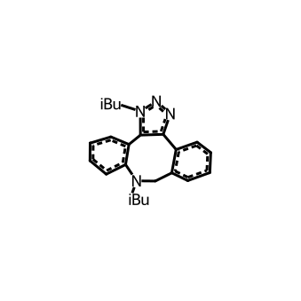 CCC(C)N1Cc2ccccc2-c2nnn(C(C)CC)c2-c2ccccc21